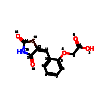 O=C(O)COc1ccccc1/C=C1/SC(=O)NC1=O